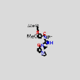 COCCCOc1cc(C(=O)N(CC2CNCC2CN(C(=O)c2cccc(N3CCCC3)c2)C2CC2)C(C)C)ccc1OC